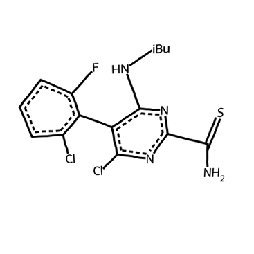 CCC(C)Nc1nc(C(N)=S)nc(Cl)c1-c1c(F)cccc1Cl